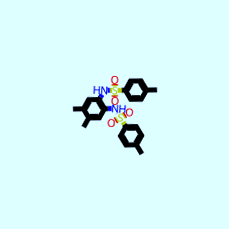 Cc1ccc(S(=O)(=O)Nc2cc(C)c(C)cc2NS(=O)(=O)c2ccc(C)cc2)cc1